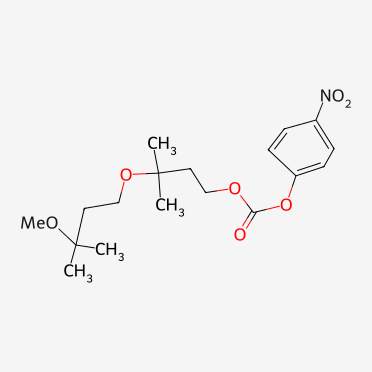 COC(C)(C)CCOC(C)(C)CCOC(=O)Oc1ccc([N+](=O)[O-])cc1